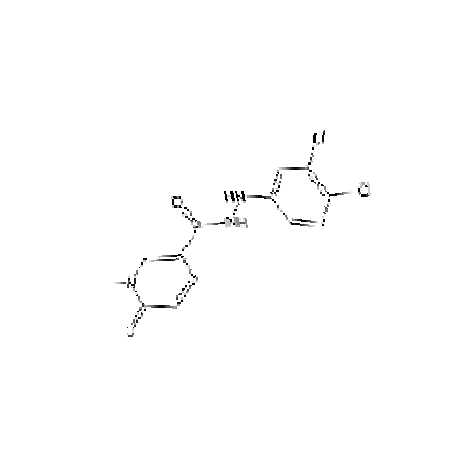 Cn1cc(C(=O)NNc2ccc(Cl)c(Cl)c2)ccc1=O